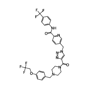 O=C(Nc1ccc(C(F)(F)F)cc1)c1ccc(Cn2cc(C(=O)N3CCN(Cc4ccc(OCC(F)(F)F)cc4)CC3)nn2)cn1